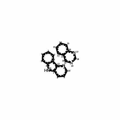 c1ccc2c(c1)[nH]c1cccnc12.c1ccc2ncncc2c1